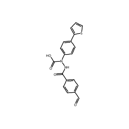 O=Cc1ccc(C(=O)NN(C(=O)O)c2ccc(-c3cccs3)cc2)cc1